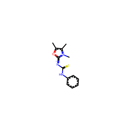 Cc1o/c(=N/C(=S)Nc2ccccc2)n(C)c1C